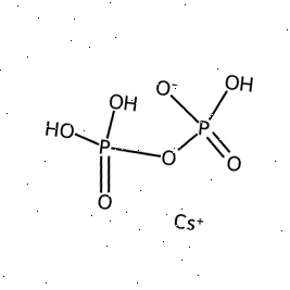 O=P([O-])(O)OP(=O)(O)O.[Cs+]